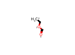 C[CH]OC=O